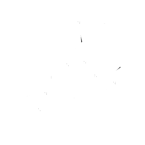 C#Cc1cccc2nc(O)nc(-c3c(F)cc4c(N5CC(CC)N[C@H](C)C5)nc(OC[C@@]56CCCN5C[C@H](F)C6)nc4c3F)c12